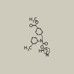 COC(=O)c1ccc(CN(C(=O)O[C@H]2CN3CCC2CC3)c2cccc(C)c2)cc1